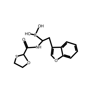 O=C(NC(Cc1coc2ccccc12)B(O)O)C1OCCS1